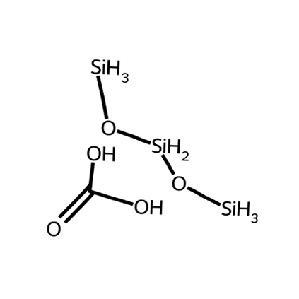 O=C(O)O.[SiH3]O[SiH2]O[SiH3]